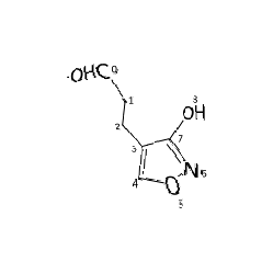 O=[C]CCc1conc1O